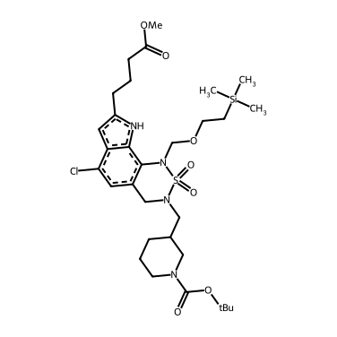 COC(=O)CCCc1cc2c(Cl)cc3c(c2[nH]1)N(COCC[Si](C)(C)C)S(=O)(=O)N(CC1CCCN(C(=O)OC(C)(C)C)C1)C3